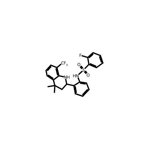 CC1(C)CC(c2ccccc2NS(=O)(=O)c2ccccc2F)Nc2c(C(F)(F)F)cccc21